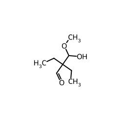 CCC(C=O)(CC)C(O)OC